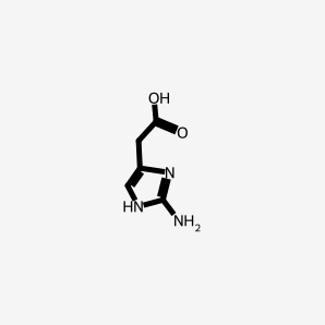 Nc1nc(CC(=O)O)c[nH]1